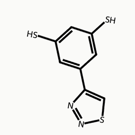 Sc1cc(S)cc(-c2csnn2)c1